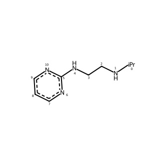 CC(C)NCCNc1ncccn1